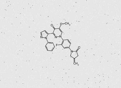 C=C1CC(=O)N(c2ccc(-n3cc(OC)c(=O)c(-c4ccnn4-c4ccccc4)n3)c(F)c2)C1